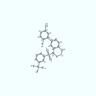 O=S(=O)(c1cccc(C(F)(F)F)c1)N1CCOc2ccc(-c3cc(Cl)ccc3F)cc21